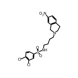 O=[N+]([O-])c1ccc2c(c1)CN(CCCCNS(=O)(=O)c1ccc(Cl)c(Cl)c1)CC2